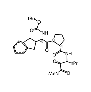 CCCC(NC(=O)[C@@H]1CCCN1C(=O)[C@@H](NC(=O)OC(C)(C)C)C1Cc2ccccc2C1)C(=O)C(=O)NC